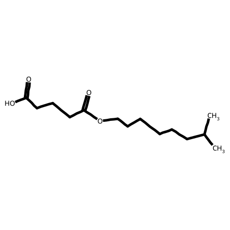 CC(C)CCCCCCOC(=O)CCCC(=O)O